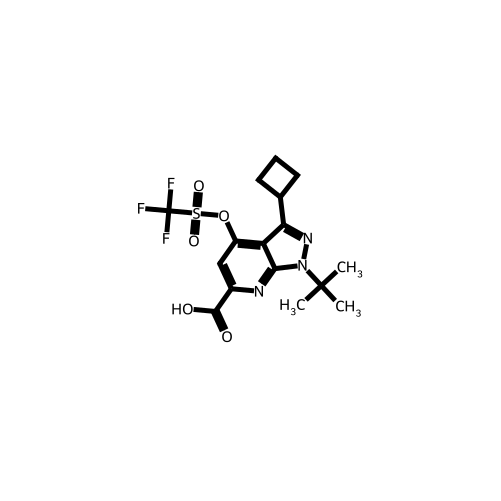 CC(C)(C)n1nc(C2CCC2)c2c(OS(=O)(=O)C(F)(F)F)cc(C(=O)O)nc21